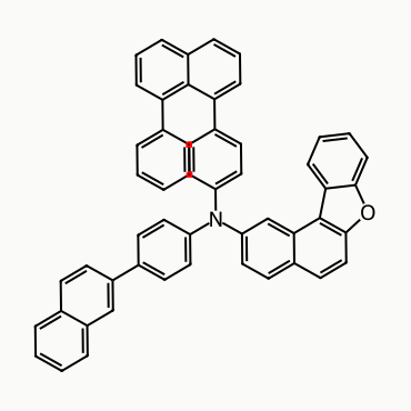 c1ccc(-c2cccc3cccc(-c4ccc(N(c5ccc(-c6ccc7ccccc7c6)cc5)c5ccc6ccc7oc8ccccc8c7c6c5)cc4)c23)cc1